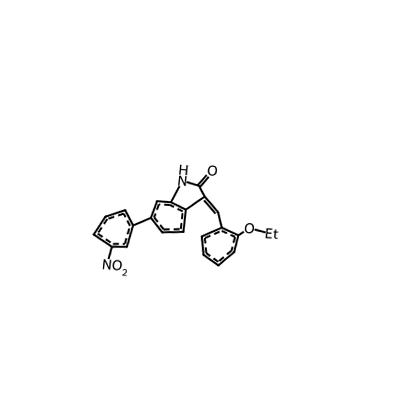 CCOc1ccccc1/C=C1/C(=O)Nc2cc(-c3cccc([N+](=O)[O-])c3)ccc21